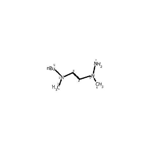 CCCCN(C)CCN(C)N